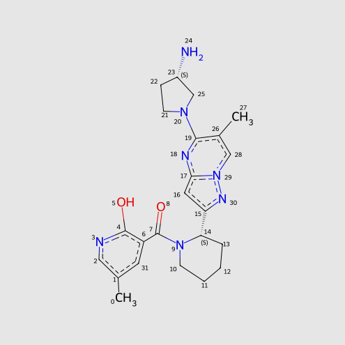 Cc1cnc(O)c(C(=O)N2CCCC[C@H]2c2cc3nc(N4CC[C@H](N)C4)c(C)cn3n2)c1